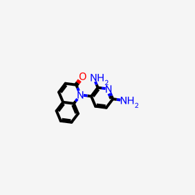 Nc1ccc(-n2c(=O)ccc3ccccc32)c(N)n1